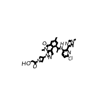 Cc1cc(C(C)Nc2ccc(Cl)nc2-c2ncn(C)n2)c2c(c1)c(=O)n(C)c1c2cnn1C1CN(C(=O)CO)C1